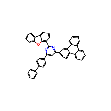 c1ccc(-c2ccc(-c3cc(-c4ccc5c6ccccc6c6ccccc6c5c4)nc(-c4cccc5c4oc4ccccc45)n3)cc2)cc1